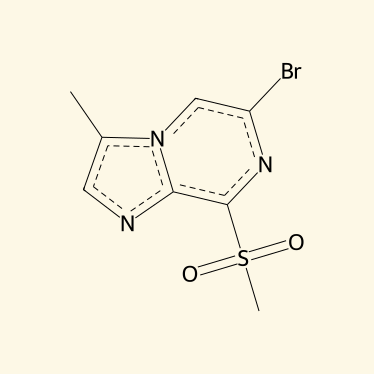 Cc1cnc2c(S(C)(=O)=O)nc(Br)cn12